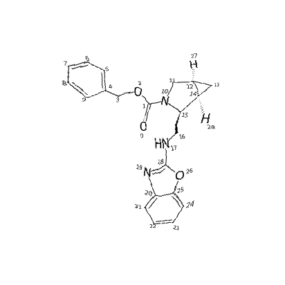 O=C(OCc1ccccc1)N1C[C@H]2C[C@H]2[C@H]1CNc1nc2ccccc2o1